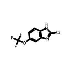 FC(F)(F)Oc1ccc2[nH]c(Cl)nc2c1